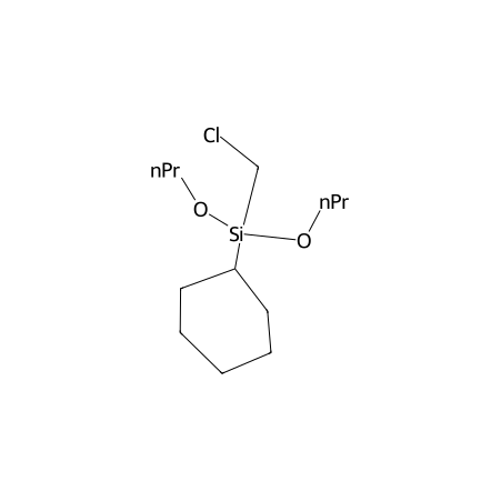 CCCO[Si](CCl)(OCCC)C1CCCCC1